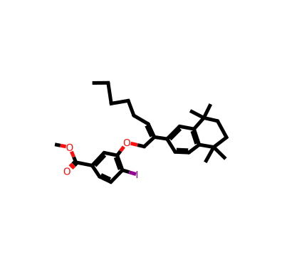 CCCCCC=C(COc1cc(C(=O)OC)ccc1I)c1ccc2c(c1)C(C)(C)CCC2(C)C